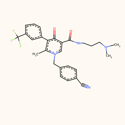 Cc1c(-c2cccc(C(F)(F)F)c2)c(=O)c(C(=O)NCCCN(C)C)cn1Cc1ccc(C#N)cc1